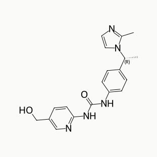 Cc1nccn1[C@H](C)c1ccc(NC(=O)Nc2ccc(CO)cn2)cc1